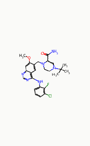 COc1cc2ncnc(Nc3cccc(Cl)c3F)c2cc1CN1CCN(C(C)(C)C)CC1C(N)=O